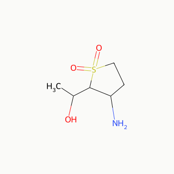 CC(O)C1C(N)CCS1(=O)=O